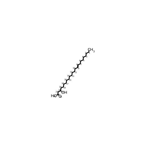 CCCCCCCCC=CCCCCCCCCCCCC(O)CC(=O)O